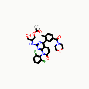 Cc1ccc(C(=O)N2CCOCC2)cc1-c1nc(NC(CO)COC(=O)C(F)(F)F)nc2c1ccc(=O)n2-c1c(F)cccc1F